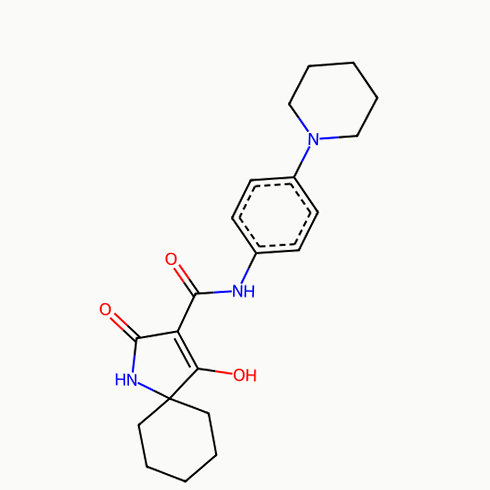 O=C(Nc1ccc(N2CCCCC2)cc1)C1=C(O)C2(CCCCC2)NC1=O